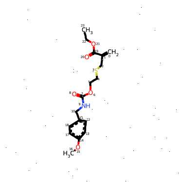 C=C(CSCCOC(=O)NCc1ccc(OC)cc1)C(=O)OCC